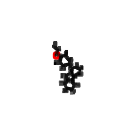 C=COc1ccc(-c2cccc3c2Cc2ccccc2-3)cc1